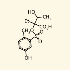 CCC(OS(=O)(=O)c1cc(O)ccc1C)(C(=O)O)C(C)O